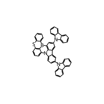 c1ccc2c(c1)Sc1cccc3c1B2c1cc(-n2c4ccccc4c4ccccc42)cc2c4cc(-n5c6ccccc6c6ccccc65)ccc4n-3c12